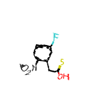 O=[N+]([O-])c1ccc(F)cc1CC(O)=S